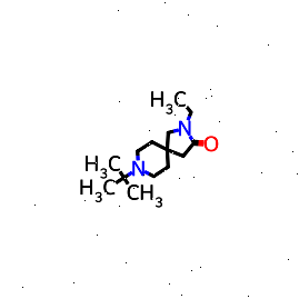 CCN1CC2(CCN(C(C)(C)C)CC2)CC1=O